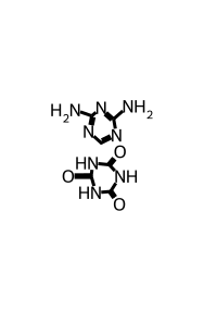 Nc1ncnc(N)n1.O=c1[nH]c(=O)[nH]c(=O)[nH]1